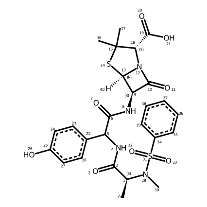 C[C@@H](C(=O)NC(C(=O)N[C@@H]1C(=O)N2[C@@H]1SC(C)(C)[C@@H]2C(=O)O)c1ccc(O)cc1)N(C)S(=O)(=O)c1ccccc1